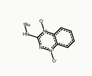 CC(C)(C)Nc1n[n+]([O-])c2ccccc2[n+]1[O-]